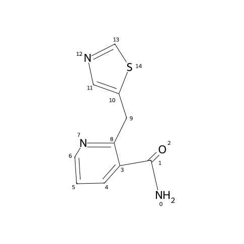 NC(=O)c1cccnc1Cc1cncs1